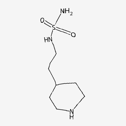 NS(=O)(=O)NCCC1CCNCC1